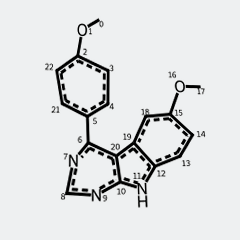 COc1ccc(-c2ncnc3[nH]c4ccc(OC)cc4c23)cc1